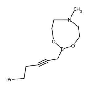 CC(C)CCC#CCB1OCCN(C)CCO1